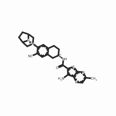 Cc1cnc2c(N)c(C(=O)N[C@@H]3CCc4cc(N5CC6CCC(C5)N6C)c(C#N)cc4C3)sc2n1